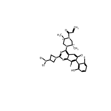 C=CC(=O)N1C[C@H](C)N(c2nc(N3CC(N(CC)CC)C3)nc3c(F)c(-c4c(O)cccc4F)c(Cl)cc23)C[C@H]1C